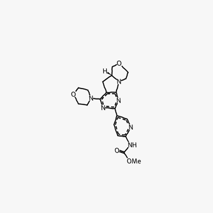 COC(=O)Nc1ccc(-c2nc(N3CCOCC3)c3c(n2)N2CCOC[C@H]2C3)cn1